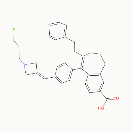 O=C(O)c1ccc2c(c1)CCCC(CCc1ccccc1)=C2c1ccc(C=C2CN(CCCF)C2)cc1